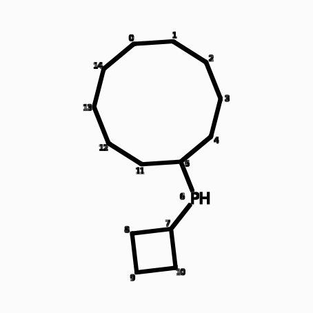 C1CCCCC(PC2CCC2)CCCC1